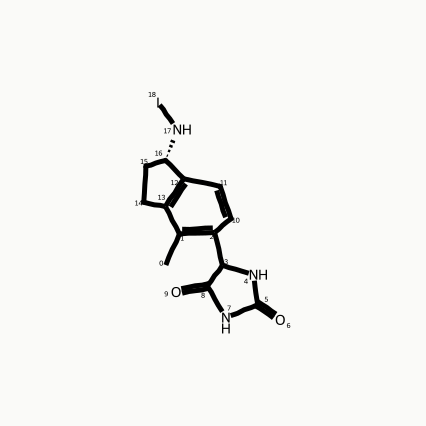 Cc1c(C2NC(=O)NC2=O)ccc2c1CC[C@@H]2NI